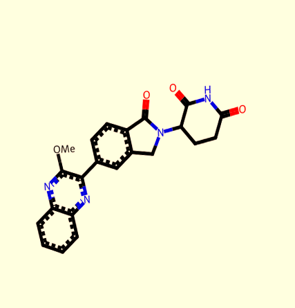 COc1nc2ccccc2nc1-c1ccc2c(c1)CN(C1CCC(=O)NC1=O)C2=O